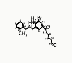 Cc1ccccc1CNCc1cc(C(=O)OCCCCCl)cc(Br)c1N